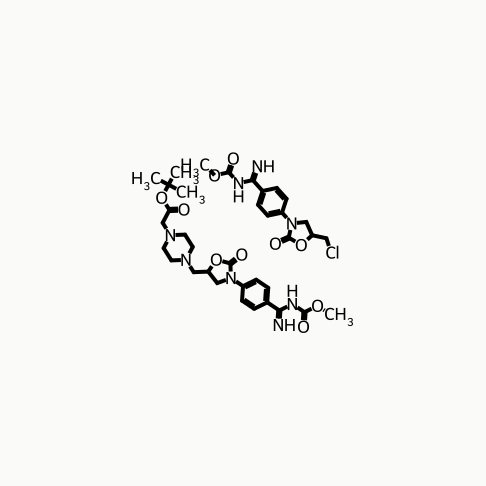 COC(=O)NC(=N)c1ccc(N2CC(CCl)OC2=O)cc1.COC(=O)NC(=N)c1ccc(N2CC(CN3CCN(CC(=O)OC(C)(C)C)CC3)OC2=O)cc1